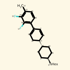 CCCCCC[C@H]1CC[C@H](C2C=CC(c3ccc(C)c(F)c3F)=CC2)CC1